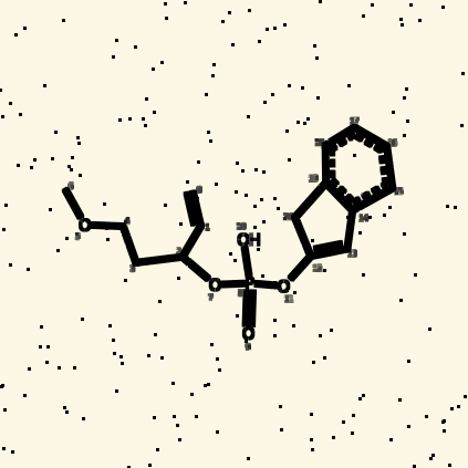 C=CC(CCOC)OP(=O)(O)OC1=Cc2ccccc2C1